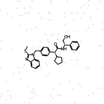 CSc1nc2ccccc2n1Cc1ccc([C@@H](C(=O)N[C@@H](CO)c2ccccc2)C2CCCC2)cc1